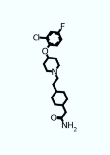 NC(=O)CC1CCC(CCN2CCC(Oc3ccc(F)cc3Cl)CC2)CC1